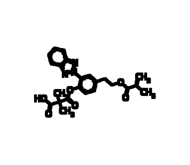 C=C(C)C(=O)OCCc1ccc(OC(=O)C(C)(C)C(=O)O)c(-n2nc3ccccc3n2)c1